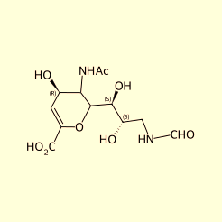 CC(=O)NC1C([C@@H](O)[C@@H](O)CNC=O)OC(C(=O)O)=C[C@H]1O